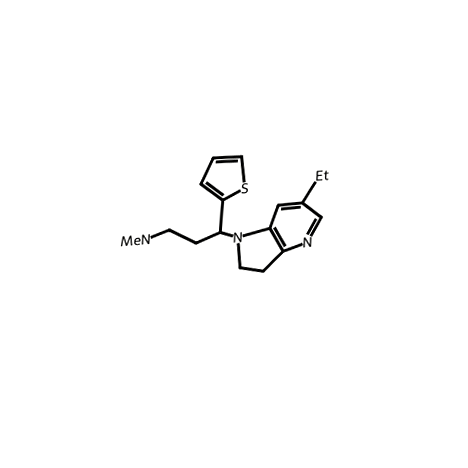 CCc1cnc2c(c1)N(C(CCNC)c1cccs1)CC2